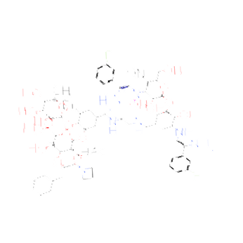 CCC1CC(CNCCNCC2CC(N/C=C(\N)c3cccc(F)c3)C(O)[C@@H](O[C@H]3OC(CO)[C@@H](N=O)C(N(O)/C=C(\N)c4cccc(F)c4)C3O)C2)C[C@H](O[C@H]2OC(CO)[C@@H](O)C(O[C@@H](CC3CCCCC3)C(=O)N3CCC3)C2NC(C)=O)C1OC1O[C@@H](C)C(O)C(O)[C@H]1O